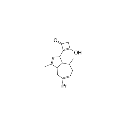 CC1=CC(C2=C(O)CC2=O)C2C(C)CC=C(C(C)C)CC12